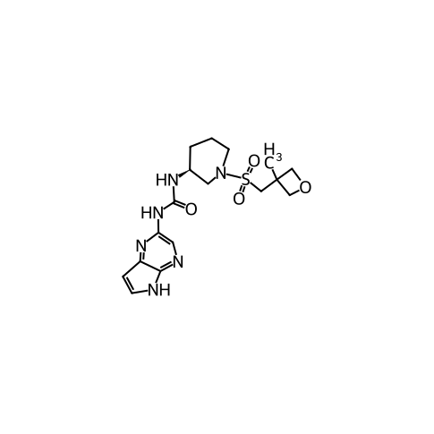 CC1(CS(=O)(=O)N2CCC[C@H](NC(=O)Nc3cnc4[nH]ccc4n3)C2)COC1